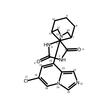 O=C1NC(=O)C2(N1)C1CCCC2CN(c2cc(Cl)cn3cncc23)C1